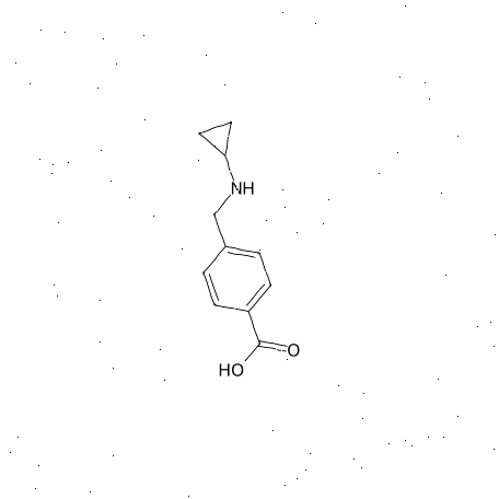 O=C(O)c1ccc(CNC2CC2)cc1